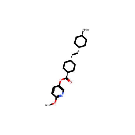 CCCCCC[C@H]1CC[C@H](CC[C@H]2CC[C@H](C(=O)Oc3ccc(OCCCC)nc3)CC2)CC1